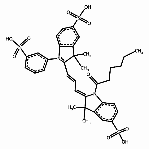 CCCCCC(=O)N1C(=CC=CC2=[N+](c3cccc(S(=O)(=O)O)c3)c3ccc(S(=O)(=O)O)cc3C2(C)C)C(C)(C)c2cc(S(=O)(=O)O)ccc21